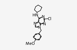 COc1ccc(Cn2cnc3c(NC4CCCCC4)nc(Cl)nc32)cc1